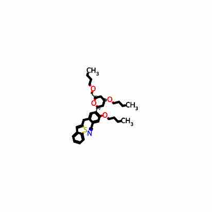 CCCCOC[C@@H]1C[C@H](OCCCC)C[C@H](c2cc(Cc3cc4ccccc4s3)c(C#N)cc2OCCCC)O1